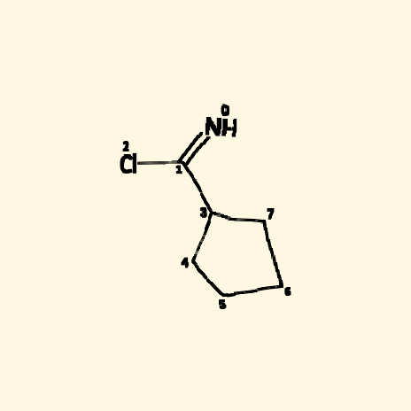 N=C(Cl)C1CCCC1